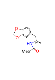 CSC(=O)N[C@H](C)Cc1ccc2c(c1)OCO2